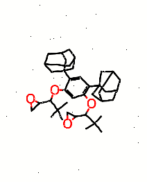 CC(C)(C)C(Oc1cc(OC(C2CO2)C(C)(C)C)c(C23CC4CC(CC(C4)C2)C3)cc1C12CC3CC(CC(C3)C1)C2)C1CO1